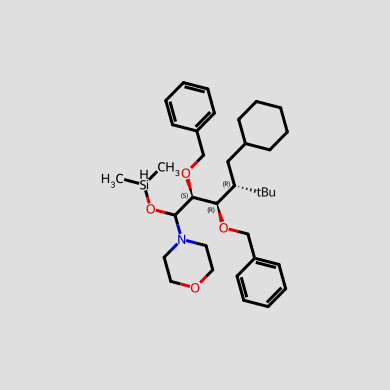 C[SiH](C)OC([C@@H](OCc1ccccc1)[C@H](OCc1ccccc1)[C@H](CC1CCCCC1)C(C)(C)C)N1CCOCC1